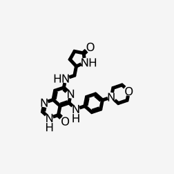 O=C1CCC(CNc2cc3nc[nH]c(=O)c3c(Nc3ccc(N4CCOCC4)cc3)n2)N1